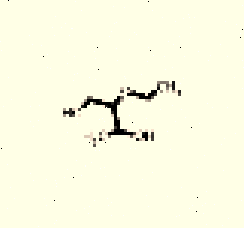 CCOC(CO)C(C)O